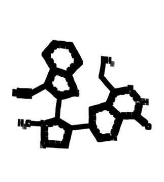 Cn1ncc(-c2cnc3c(=O)[nH]nc(CN)c3c2)c1-c1sc2ccccc2c1C#N